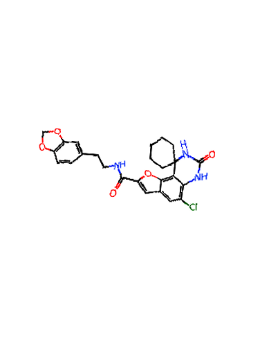 O=C1Nc2c(Cl)cc3cc(C(=O)NCCc4ccc5c(c4)OCO5)oc3c2C2(CCCCC2)N1